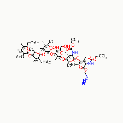 CCC1O[C@H](O[C@@H]2C(C)[C@H](O[C@@H]3C(CC)O[C@@H](O[C@@H]4C(CC)O[C@@H](OCN=[N+]=[N-])C(NC(=O)OCC(Cl)(Cl)Cl)[C@@H]4C)C(NC(=O)OCC(Cl)(Cl)Cl)[C@H]3C)OC(CO)[C@H]2O)C(O[C@@H]2OC(CC)[C@@H](O[C@@H]3OC(COC(C)=O)[C@H](C)[C@H](C)C3OC(C)=O)[C@H](C)C2NC(C)=O)[C@@H](C)[C@@H]1C